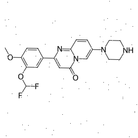 COc1ccc(-c2cc(=O)n3cc(N4CCNCC4)ccc3n2)cc1OC(F)F